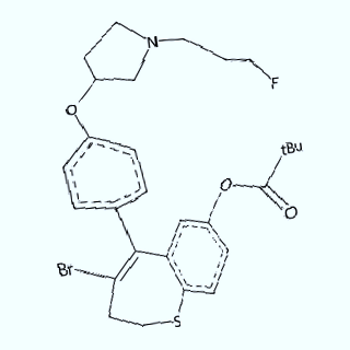 CC(C)(C)C(=O)Oc1ccc2c(c1)C(c1ccc(OC3CCN(CCCF)C3)cc1)=C(Br)CCS2